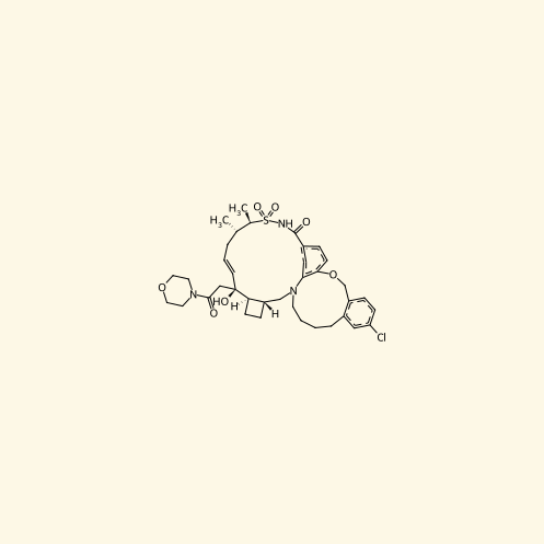 C[C@@H]1[C@@H](C)C/C=C/[C@@](O)(CC(=O)N2CCOCC2)[C@@H]2CC[C@H]2CN2CCCCc3cc(Cl)ccc3COc3ccc(cc32)C(=O)NS1(=O)=O